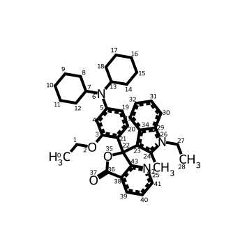 CCOc1cc(N(C2CCCCC2)C2CCCCC2)ccc1C1(c2c(C)n(CC)c3ccccc23)OC(=O)c2cccnc21